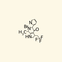 CC1C2=C(C(=O)C(c3ccccn3)N1Br)C(CC(F)(F)F)CN2